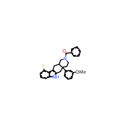 COc1cccc(C23CCN(C(=O)c4ccccc4)CC2Cc2c([nH]c4cccc(F)c24)C3)c1